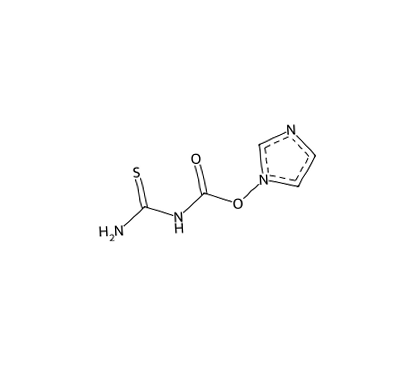 NC(=S)NC(=O)On1ccnc1